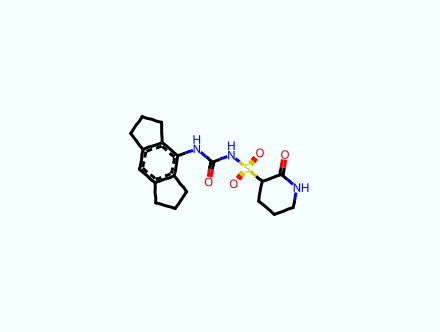 O=C(Nc1c2c(cc3c1CCC3)CCC2)NS(=O)(=O)C1CCCNC1=O